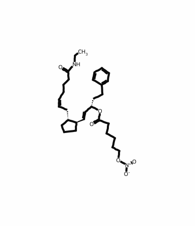 CCNC(=O)CCC/C=C\C[C@H]1CCC[C@@H]1/C=C/[C@H](CCc1ccccc1)OC(=O)CCCCCO[N+](=O)[O-]